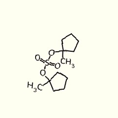 CC1(OS(=O)(=O)OC2(C)CCCC2)CCCC1